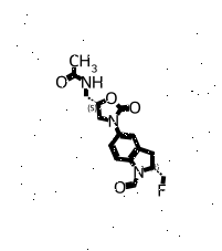 CC(=O)NC[C@H]1CN(c2ccc3c(c2)C[C@H](CF)N3C=O)C(=O)O1